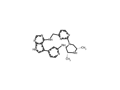 C[C@@H]1CN(c2nccc(CNc3ncnc4[nH]cc(-c5ccnc(N)c5)c34)n2)C[C@H](C)N1